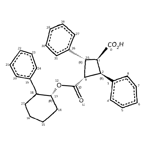 O=C(O)[C@H]1[C@@H](c2ccccc2)[C@H](C(=O)O[C@@H]2CCCCC2c2ccccc2)[C@@H]1c1ccccc1